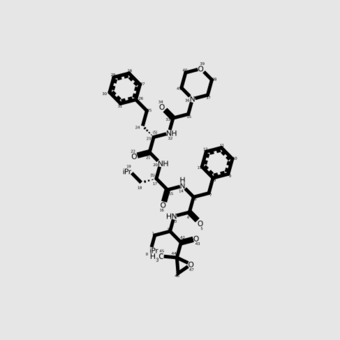 CC(C)CC(NC(=O)C(Cc1ccccc1)NC(=O)[C@H](CC(C)C)NC(=O)[C@H](CCc1ccccc1)NC(=O)CN1CCOCC1)C(=O)C1(C)CO1